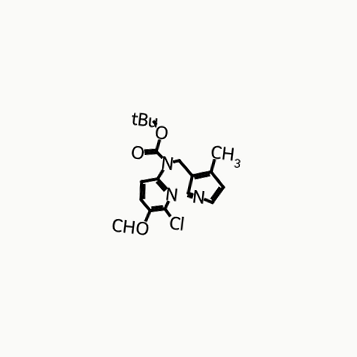 Cc1ccncc1CN(C(=O)OC(C)(C)C)c1ccc(C=O)c(Cl)n1